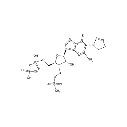 CS(=O)(=O)OO[C@H]1[C@@H](O)[C@H](n2cnc3c(=O)n(N4C=NCC4)c(N)nc32)O[C@@H]1COP(=O)(O)OP(=O)(O)O